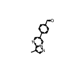 Cc1cnn2cc(-c3ccc(C=O)cc3)cnc12